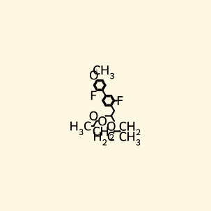 C=C(C)C(=C)OCC(COC(=O)C(=C)C)Cc1ccc(-c2ccc(OC)cc2F)cc1F